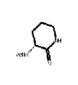 CC(=O)N[C@@H]1CCCNC1=O